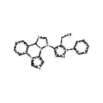 OCc1c(N2C=NC3c4ccccc4-n4cncc4N32)nnn1-c1ccccc1